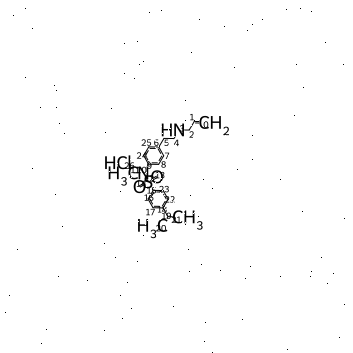 C=CCNCCc1ccc(N(C)S(=O)(=O)c2ccc(C(C)C)cc2)cc1.Cl